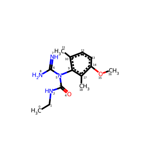 CCNC(=O)N(C(=N)N)c1c(C)ccc(OC)c1C